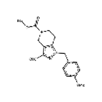 COc1ccc(Cn2nc(C=O)c3c2CCN(C(=O)OC(C)(C)C)C3)cc1